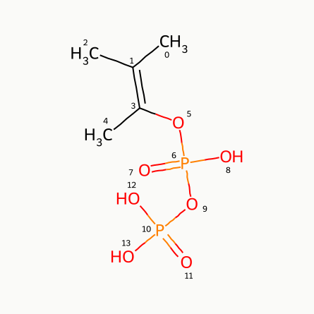 CC(C)=C(C)OP(=O)(O)OP(=O)(O)O